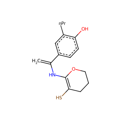 C=C(NC1=C(S)CCCO1)c1ccc(O)c(CCC)c1